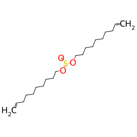 C=CCCCCCCCCOS(=O)OCCCCCCCCC=C